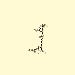 CCCCC/C(=C/COC(=O)CCCCCCCC(CCC)OC(=O)CCCN(C)C)CC(C)CCC